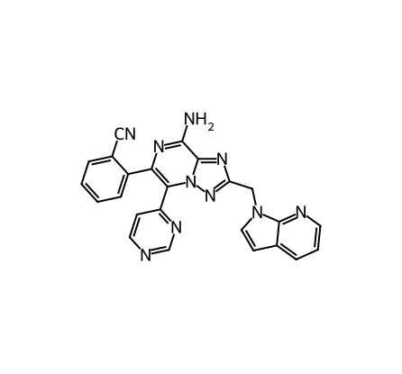 N#Cc1ccccc1-c1nc(N)c2nc(Cn3ccc4cccnc43)nn2c1-c1ccncn1